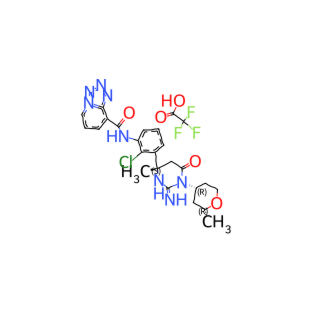 C[C@@H]1C[C@H](N2C(=N)N[C@](C)(c3cccc(NC(=O)c4cccn5nnnc45)c3Cl)CC2=O)CCO1.O=C(O)C(F)(F)F